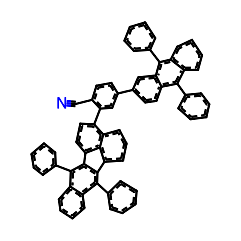 N#Cc1ccc(-c2ccc3c(-c4ccccc4)c4ccccc4c(-c4ccccc4)c3c2)cc1-c1ccc2c3c(cccc13)-c1c-2c(-c2ccccc2)c2ccccc2c1-c1ccccc1